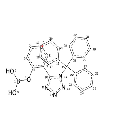 OB(O)Oc1ccccc1-c1nnnn1C(c1ccccc1)(c1ccccc1)c1ccccc1